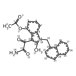 CC(=O)Oc1cccc2c1c(C(=O)C(N)=O)c(C)n2Cc1cccc2ccccc12